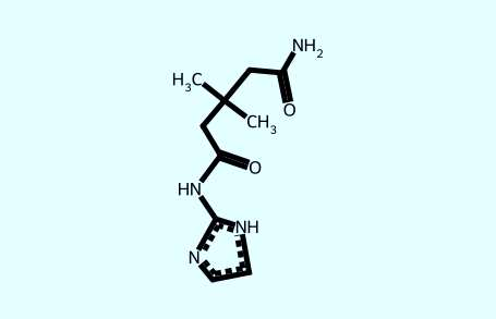 CC(C)(CC(N)=O)CC(=O)Nc1ncc[nH]1